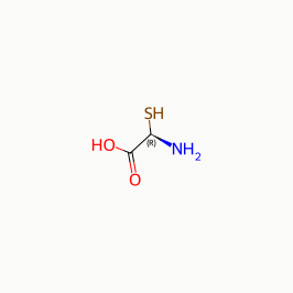 N[C@H](S)C(=O)O